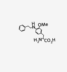 COc1cc(C[C@H](N)C(=O)O)ccc1NCCc1ccccc1